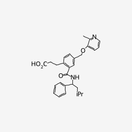 Cc1ncccc1OCc1ccc(CCC(=O)O)c(C(=O)NC(CC(C)C)c2ccccc2)c1